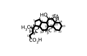 CC[C@H]1[C@H](O)C2C3CC[C@H]([C@H](C)CCC(=O)O)[C@@]3(C)CCC2[C@@]2(C)CCCC[C@@H]12